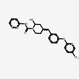 O=C(Nc1cccnn1)N1CCC(=Cc2cccc(Oc3ccc(C(F)(F)F)cn3)c2)CC1O